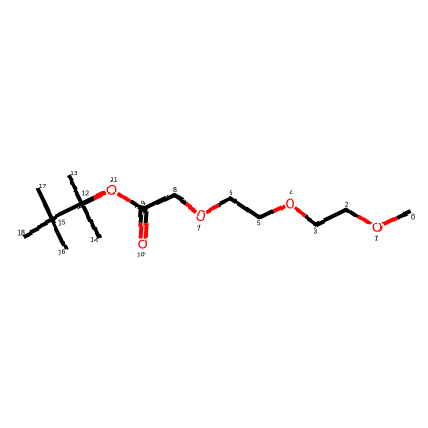 COCCOCCOCC(=O)OC(C)(C)C(C)(C)C